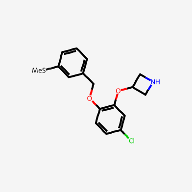 CSc1cccc(COc2ccc(Cl)cc2OC2CNC2)c1